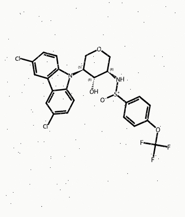 [O-][S+](N[C@@H]1COC[C@H](n2c3ccc(Cl)cc3c3cc(Cl)ccc32)[C@H]1O)c1ccc(OC(F)(F)F)cc1